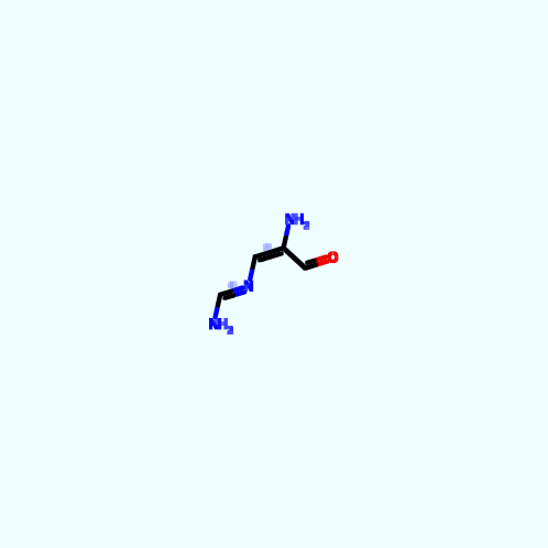 N/C=N/C=C(/N)C=O